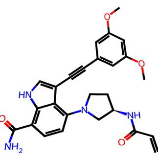 C=CC(=O)N[C@@H]1CCN(c2ccc(C(N)=O)c3[nH]cc(C#Cc4cc(OC)cc(OC)c4)c23)C1